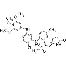 COc1cc(Nc2ncc(Cl)c(Nc3ccc(C)cc3N(C[C@H]3CCC(=O)N3)S(C)(=O)=O)n2)cc(OC)c1OC